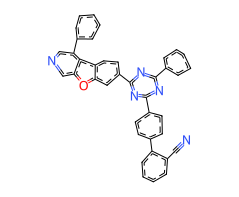 N#Cc1ccccc1-c1ccc(-c2nc(-c3ccccc3)nc(-c3ccc4c(c3)oc3cncc(-c5ccccc5)c34)n2)cc1